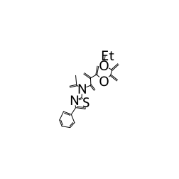 C=C(OCC)C(=C)OC(=C)C(=C)C(=C)N(C(=C)C)c1nc(-c2ccccc2)cs1